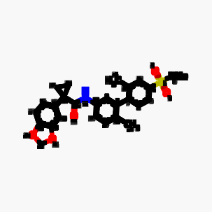 CNS(=O)(=O)c1ccc(-c2cc(NC(=O)C3(c4ccc5c(c4)OCO5)CC3)ccc2C)c(C)c1